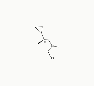 CC(C)CN(C)C[C@@H](C)C1CC1